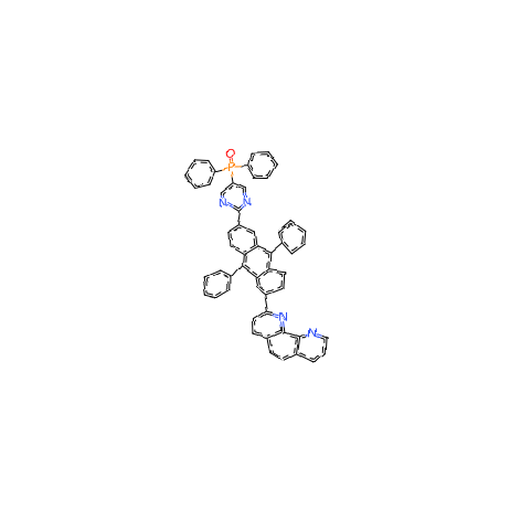 O=P(c1ccccc1)(c1ccccc1)c1cnc(-c2ccc3c(-c4ccccc4)c4cc(-c5ccc6ccc7cccnc7c6n5)ccc4c(-c4ccccc4)c3c2)nc1